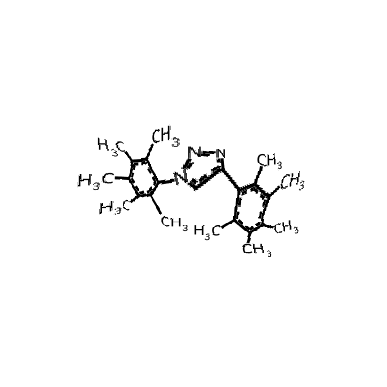 Cc1c(C)c(C)c(-c2cn(-c3c(C)c(C)c(C)c(C)c3C)nn2)c(C)c1C